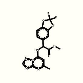 COC(=O)C(Nc1cc(C)nc2ncnn12)c1ccc2c(c1)OC(F)(F)O2